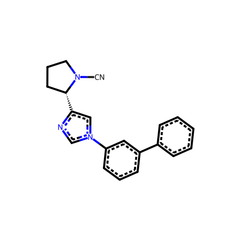 N#CN1CCC[C@H]1c1cn(-c2cccc(-c3ccccc3)c2)cn1